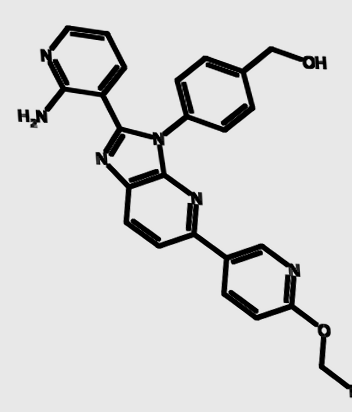 Nc1ncccc1-c1nc2ccc(-c3ccc(OCF)nc3)nc2n1-c1ccc(CO)cc1